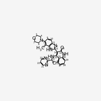 Cc1c(N2CCOCC2)ccc2nc(-c3c(NC(C)c4ncccn4)c4ccccc4[nH]c3=O)[nH]c12